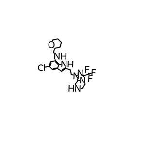 FC(F)(F)C1=NN(CCc2cc3cc(Cl)cc(NCC4CCCCO4)c3[nH]2)C2CNCCN12